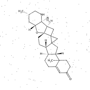 C[C@@H]1CN[C@@]2(N)[C@H]3CC45CC46C[C@H]4[C@@H](CCC7=CC(=O)CCC74C)[C@@H]6CC[C@@]35O[C@@H]2C1